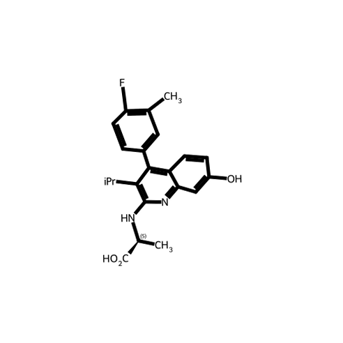 Cc1cc(-c2c(C(C)C)c(N[C@@H](C)C(=O)O)nc3cc(O)ccc23)ccc1F